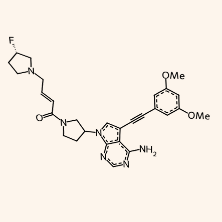 COc1cc(C#Cc2cn(C3CCN(C(=O)C=CCN4CC[C@H](F)C4)C3)c3ncnc(N)c23)cc(OC)c1